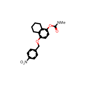 CNC(=O)Oc1ccc(OCc2ccc([N+](=O)[O-])cc2)c2c1CCCC2